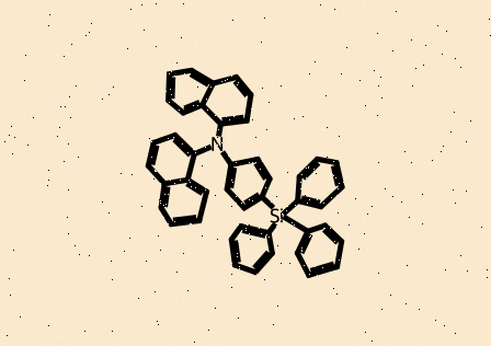 c1ccc([Si](c2ccccc2)(c2ccccc2)c2ccc(N(c3cccc4ccccc34)c3cccc4ccccc34)cc2)cc1